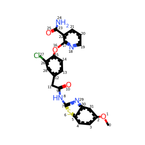 COc1ccc2sc(NC(=O)Cc3ccc(Oc4ncccc4C(N)=O)c(Cl)c3)nc2c1